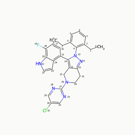 CCc1cccc(CC)c1-n1nc2c(c1-c1ccc(F)c3[nH]ccc13)CN(c1ncc(Cl)cn1)CC2